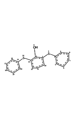 Oc1c(Sc2ccccc2)cccc1Sc1ccccc1